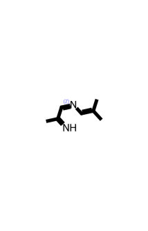 CC(=N)/C=N\C=C(C)C